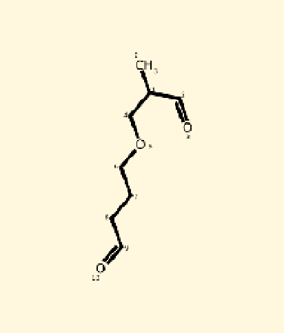 CC(C=O)COCCCC=O